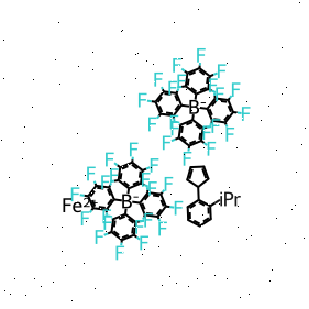 CC(C)c1ccccc1C1C=CC=C1.Fc1c(F)c(F)c([B-](c2c(F)c(F)c(F)c(F)c2F)(c2c(F)c(F)c(F)c(F)c2F)c2c(F)c(F)c(F)c(F)c2F)c(F)c1F.Fc1c(F)c(F)c([B-](c2c(F)c(F)c(F)c(F)c2F)(c2c(F)c(F)c(F)c(F)c2F)c2c(F)c(F)c(F)c(F)c2F)c(F)c1F.[Fe+2]